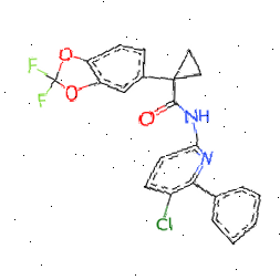 O=C(Nc1ccc(Cl)c(-c2ccccc2)n1)C1(c2ccc3c(c2)OC(F)(F)O3)CC1